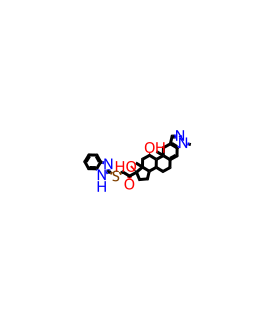 Cn1ncc2c1C=C1CCC3C([C@@H](O)CC4(C)C3CC[C@]4(O)C(=O)CSc3nc4ccccc4[nH]3)C1(C)C2